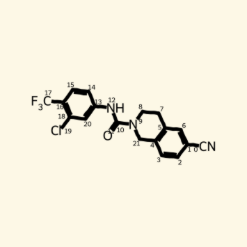 N#Cc1ccc2c(c1)CCN(C(=O)Nc1ccc(C(F)(F)F)c(Cl)c1)C2